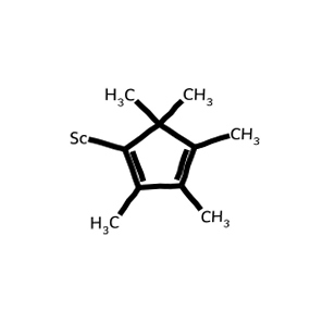 CC1=C(C)C(C)(C)[C]([Sc])=C1C